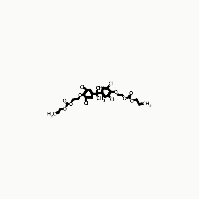 C=CCOC(=O)OCCOc1c(Cl)cc(C(C)(C)c2cc(Cl)c(OCCOC(=O)OCC=C)c(Cl)c2)cc1Cl